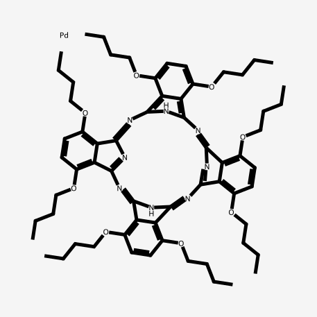 CCCCOc1ccc(OCCCC)c2c1-c1nc-2nc2[nH]c(nc3nc(nc4[nH]c(n1)c1c(OCCCC)ccc(OCCCC)c41)-c1c(OCCCC)ccc(OCCCC)c1-3)c1c(OCCCC)ccc(OCCCC)c21.[Pd]